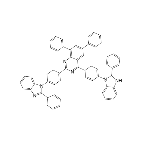 C1=CCC(c2nc3ccccc3n2C2=CC=C(c3nc(C4C=CC(N5c6ccccc6NC5c5ccccc5)=CC4)c4cc(-c5ccccc5)cc(-c5ccccc5)c4n3)CC2)C=C1